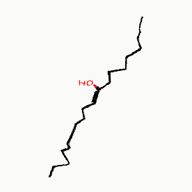 CCCCCCCCC=C(O)CCCCCCCC